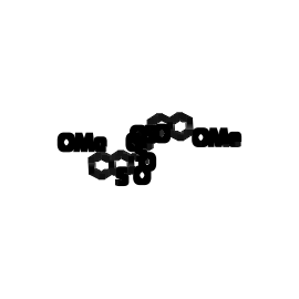 COc1ccc(/C=C\S(=O)(=O)CS(=O)(=O)c2cc3c(OC)cccc3sc2=O)cc1